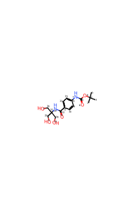 CC(C)(C)OC(=O)Nc1ccc(C(=O)NC(CO)(CO)CO)cc1